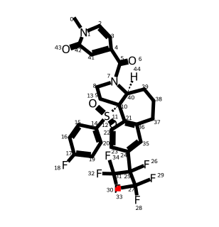 Cn1ccc(C(=O)N2CC[C@]3(S(=O)(=O)c4ccc(F)cc4)c4ccc(C(F)(C(F)(F)F)C(F)(F)F)cc4CCC[C@H]23)cc1=O